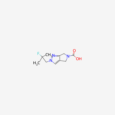 CC(C)(F)Cn1cc2c(n1)CN(C(=O)O)C2